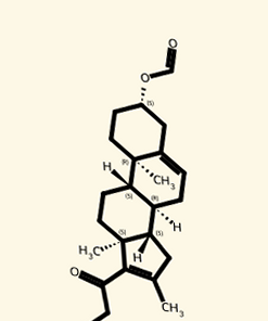 CC1=C(C(=O)CCl)[C@@]2(C)CC[C@H]3[C@@H](CC=C4C[C@@H](OC=O)CC[C@@]43C)[C@@H]2C1